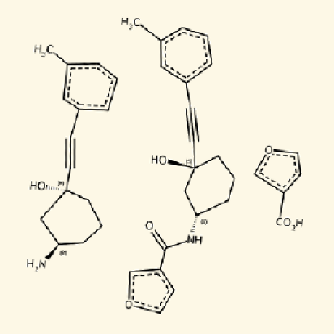 Cc1cccc(C#C[C@@]2(O)CCC[C@@H](N)C2)c1.Cc1cccc(C#C[C@]2(O)CCC[C@H](NC(=O)c3ccoc3)C2)c1.O=C(O)c1ccoc1